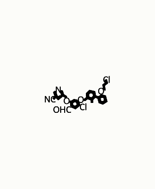 Cc1c(COc2cc(OCc3cncc(C#N)c3)c(C=O)cc2Cl)cccc1-c1ccccc1OCCCCl